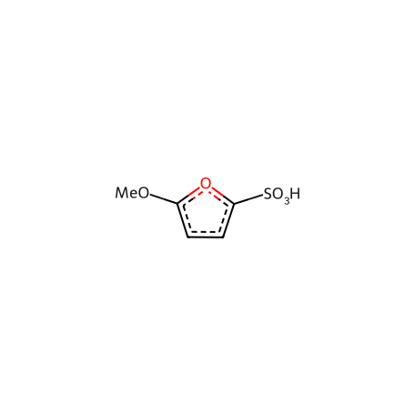 COc1ccc(S(=O)(=O)O)o1